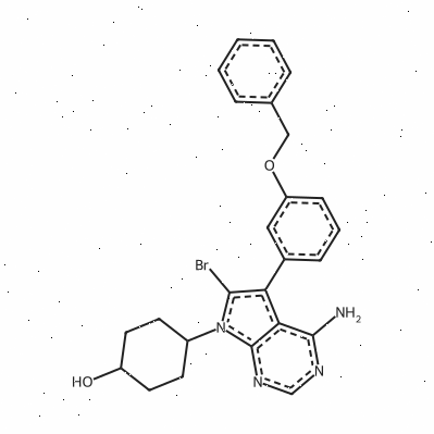 Nc1ncnc2c1c(-c1cccc(OCc3ccccc3)c1)c(Br)n2C1CCC(O)CC1